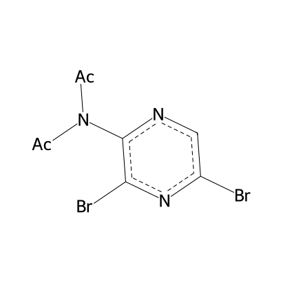 CC(=O)N(C(C)=O)c1ncc(Br)nc1Br